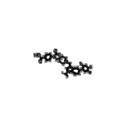 CC(C)n1cc(CN2CCC3(CC2)CN(c2ccc(C(=O)O)cc2)C(=O)O3)c2cc(-c3cc(F)c(F)cc3F)ccc21